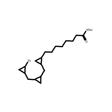 CCCCCCCCCCC(=O)CCCCCCCC1CC1CC1CC1CC1CC1CC